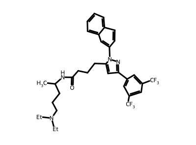 CCN(CC)CCCC(C)NC(=O)CCCc1cc(-c2cc(C(F)(F)F)cc(C(F)(F)F)c2)nn1-c1ccc2ccccc2c1